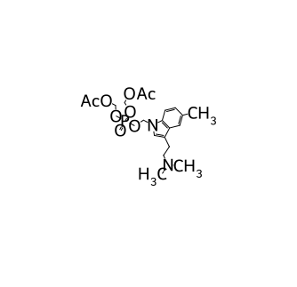 CC(=O)OCOP(=O)(OCOC(C)=O)OCn1cc(CCN(C)C)c2cc(C)ccc21